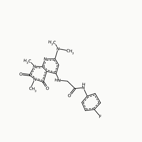 CN(C)c1cc(NCC(=O)Nc2ccc(F)cc2)c2c(=O)n(C)c(=O)n(C)c2n1